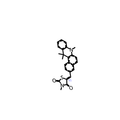 CN1C(=O)S/C(=C\c2ccc3c4c(ccc3c2)N(C)c2ccccc2C4(C)C)C1=O